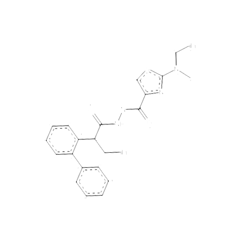 CC(C)CC(C(=O)NNC(=O)c1csc(N(C)CC(C)C)n1)c1ccccc1-c1ccccc1